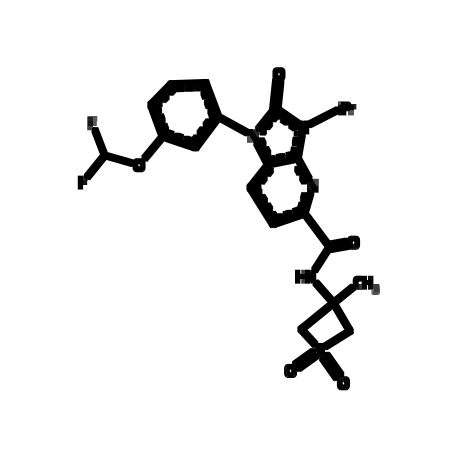 CC(C)n1c(=O)n(-c2cccc(OC(F)F)c2)c2ccc(C(=O)NC3(C)CS(=O)(=O)C3)nc21